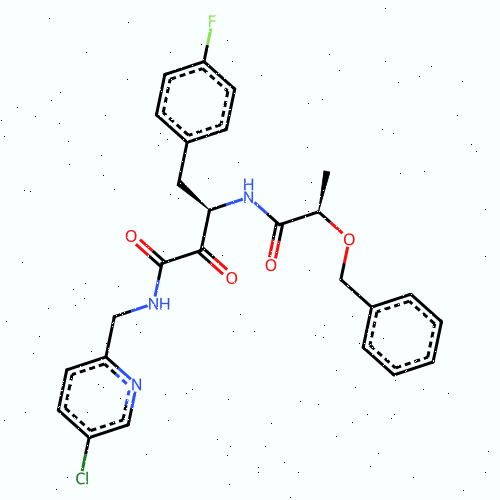 C[C@@H](OCc1ccccc1)C(=O)N[C@H](Cc1ccc(F)cc1)C(=O)C(=O)NCc1ccc(Cl)cn1